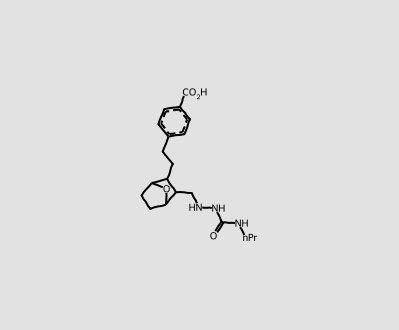 CCCNC(=O)NNCC1C2CCC(O2)C1CCc1ccc(C(=O)O)cc1